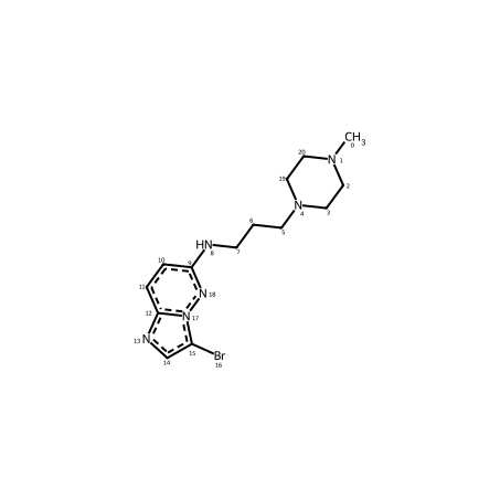 CN1CCN(CCCNc2ccc3ncc(Br)n3n2)CC1